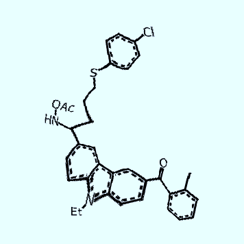 CCn1c2ccc(C(=O)c3ccccc3C)cc2c2cc(C(CCCSc3ccc(Cl)cc3)NOC(C)=O)ccc21